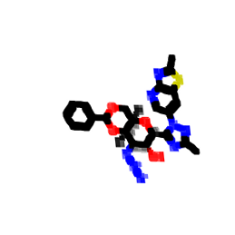 Cc1nc([C@@H]2O[C@@H]3COC(c4ccccc4)O[C@@H]3[C@H](N=[N+]=[N-])[C@H]2O)n(-c2cnc3nc(C)sc3c2)n1